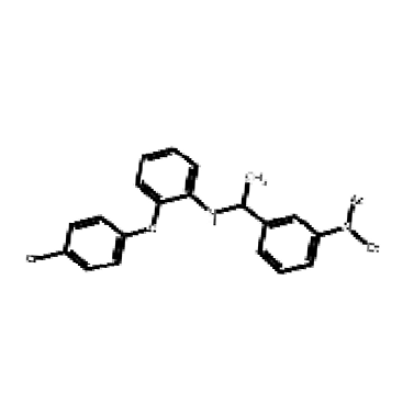 CCN(C(C)=O)c1cccc(C(C)Nc2ccccc2Oc2ccc(Cl)cc2)c1